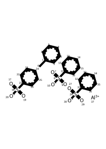 Cc1ccccc1.O=S(=O)([O-])c1ccccc1.O=S(=O)([O-])c1ccccc1.O=S(=O)([O-])c1ccccc1.[Al+3]